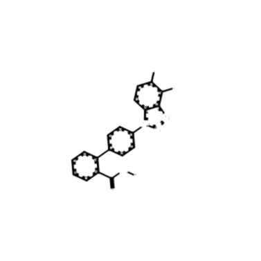 Cc1c(C(=O)O)ccc2c1nnn2-c1ccc(-c2ccccc2C(=O)OC(C)(C)C)cc1